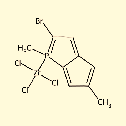 CC1=CC2=CC(Br)=[P](C)([Zr]([Cl])([Cl])[Cl])C2=C1